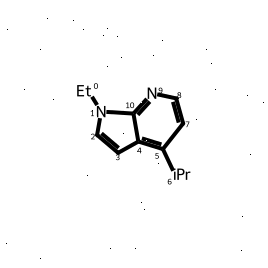 CCn1ccc2c(C(C)C)ccnc21